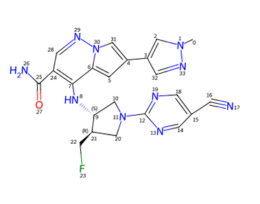 Cn1cc(-c2cc3c(N[C@@H]4CN(c5ncc(C#N)cn5)C[C@H]4CF)c(C(N)=O)cnn3c2)cn1